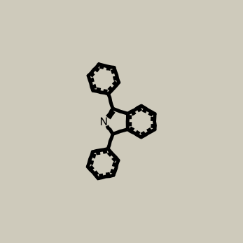 c1ccc(C2=NC(c3ccccc3)c3ccccc32)cc1